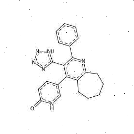 O=c1ccc(-c2c3c(nc(-c4ccccc4)c2-c2nnn[nH]2)CCCCC3)c[nH]1